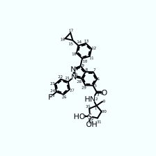 CC1(NC(=O)c2ccc3c(-c4cccc(C5CC5)c4)nn(-c4ccc(F)cc4)c3c2)CCS(O)(O)C1